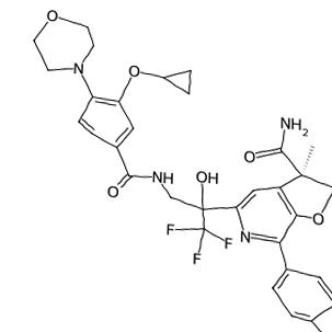 C[C@]1(C(N)=O)COc2c1cc(C(O)(CNC(=O)c1ccc(N3CCOCC3)c(OC3CC3)c1)C(F)(F)F)nc2-c1ccc(F)cc1